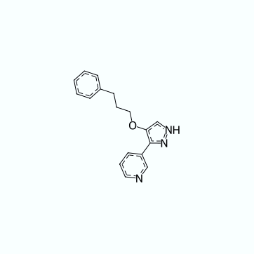 c1ccc(CCCOc2c[nH]nc2-c2cccnc2)cc1